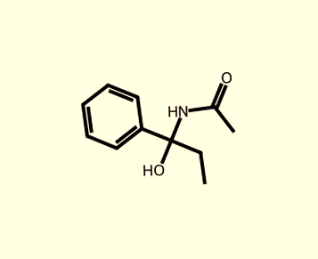 CCC(O)(NC(C)=O)c1ccccc1